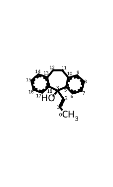 C/C=C/C1(O)c2ccccc2CCc2ccccc21